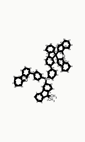 CC1(C)c2ccccc2-c2cc(N(c3ccc(-c4cccc5c4oc4ccccc45)cc3)c3cccc(-c4ccc5c(c4)C4(c6ccccc6-5)c5ccc6ccccc6c5Oc5c4ccc4ccccc54)c3)ccc21